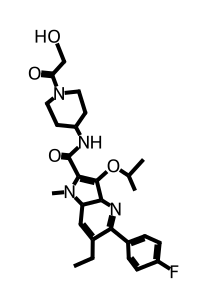 CCC1=CC2C(N=C1c1ccc(F)cc1)C(OC(C)C)=C(C(=O)NC1CCN(C(=O)CO)CC1)N2C